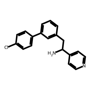 NC(Cc1cccc(-c2ccc(Cl)cc2)c1)c1ccncc1